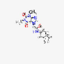 Cn1c(=O)c2c(ncn2CC(=O)Nc2ccc3c(c2)CCC3)n(C)c1=O